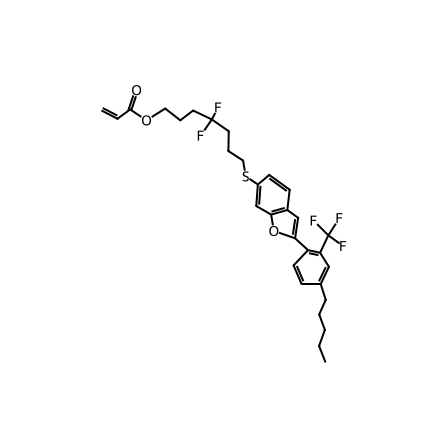 C=CC(=O)OCCCC(F)(F)CCCSc1ccc2cc(-c3ccc(CCCCC)cc3C(F)(F)F)oc2c1